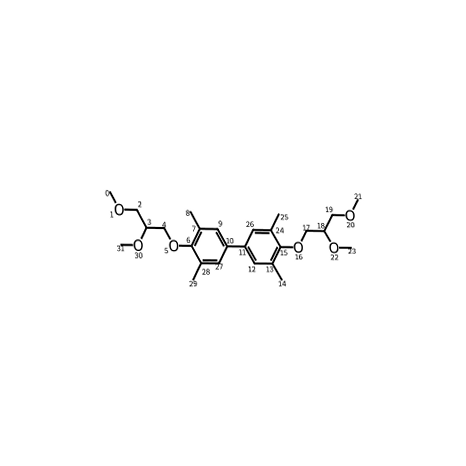 COCC(COc1c(C)cc(-c2cc(C)c(OCC(COC)OC)c(C)c2)cc1C)OC